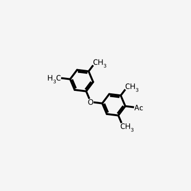 CC(=O)c1c(C)cc(Oc2cc(C)cc(C)c2)cc1C